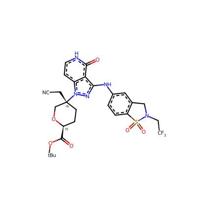 CC(C)(C)OC(=O)[C@@H]1CC[C@@](CC#N)(n2nc(Nc3ccc4c(c3)CN(CC(F)(F)F)S4(=O)=O)c3c(=O)[nH]ccc32)CO1